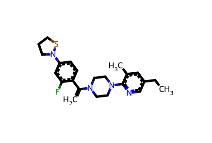 C=C(c1ccc(N2CCCS2)cc1F)N1CCN(c2ncc(CC)cc2C)CC1